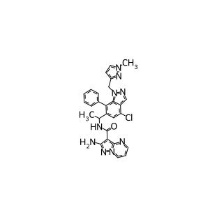 CC(NC(=O)c1c(N)nn2cccnc12)c1cc(Cl)c2cnn(Cc3ccn(C)n3)c2c1-c1ccccc1